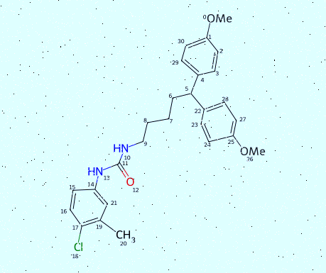 COc1ccc(C(CCCCNC(=O)Nc2ccc(Cl)c(C)c2)c2ccc(OC)cc2)cc1